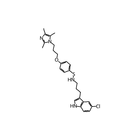 Cc1nc(C)n(CCCOc2ccc(SNCCCc3c[nH]c4ccc(Cl)cc34)cc2)c1C